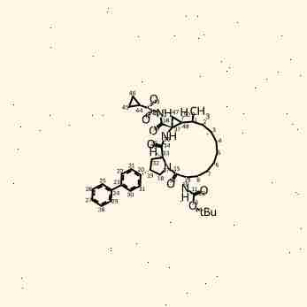 CC1CCCCCCC[C@H](NC(=O)OC(C)(C)C)C(=O)N2C[C@H](c3ccc(-c4ccccc4)cc3)C[C@H]2C(=O)N[C@]2(C(=O)NS(=O)(=O)C3CC3)C[C@@H]12